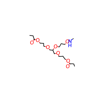 CCC(=O)OCCCOCC(COCCCOC(=O)CC)OCCCONC